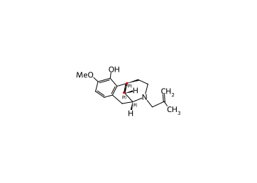 C=C(C)CN1CC[C@]23CCCC[C@H]2[C@H]1Cc1ccc(OC)c(O)c13